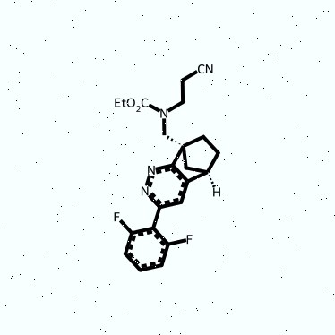 CCOC(=O)N(CCC#N)C[C@]12CC[C@H](C1)c1cc(-c3c(F)cccc3F)nnc12